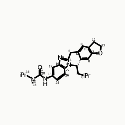 CC(C)CCn1c(Cc2ccc3c(c2)CCO3)nc2cc(NC(=O)N(C)C(C)C)ccc21